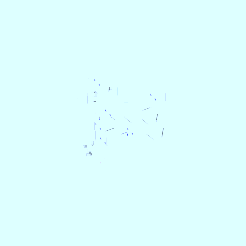 [2H]C([2H])(Oc1nc(N2CCOC[C@H]3[C@H](F)[C@H]32)c2cnc(-c3cc(N)cc4ccc(F)c(CC)c34)c(F)c2n1)[C@@]12CCCN1C[C@H](F)C2